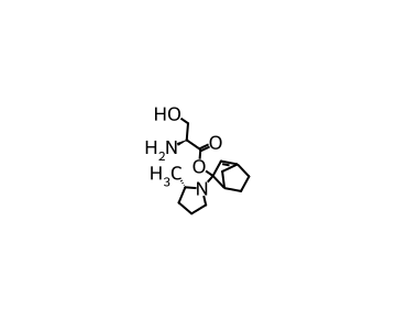 C[C@H]1CCCN1C1(OC(=O)[C@@H](N)CO)C=C2CCC1C2